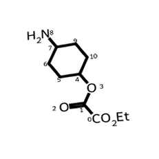 CCOC(=O)C(=O)OC1CCC(N)CC1